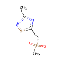 Cc1nsc(CS(C)(=O)=O)n1